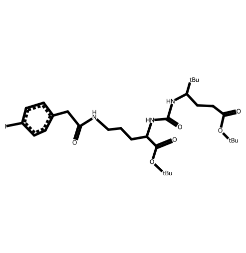 CC(C)(C)OC(=O)CCC(NC(=O)NC(CCCNC(=O)Cc1ccc(I)cc1)C(=O)OC(C)(C)C)C(C)(C)C